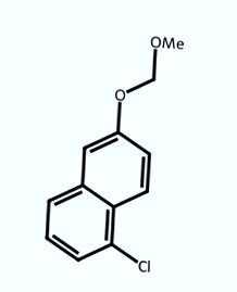 COCOc1ccc2c(Cl)cccc2c1